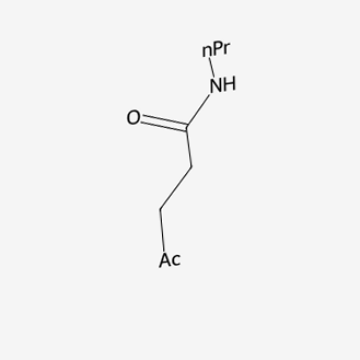 CCCNC(=O)CCC(C)=O